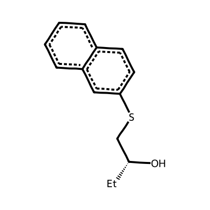 CC[C@@H](O)CSc1ccc2ccccc2c1